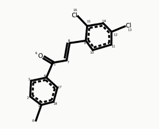 Cc1ccc(C(=O)C=Cc2ccc(Cl)cc2Cl)cc1